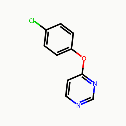 Clc1ccc(Oc2ccncn2)cc1